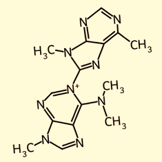 Cc1ncnc2c1nc(-[n+]1cnc3c(ncn3C)c1N(C)C)n2C